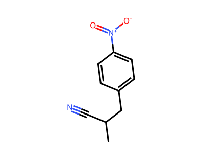 CC(C#N)Cc1ccc([N+](=O)[O-])cc1